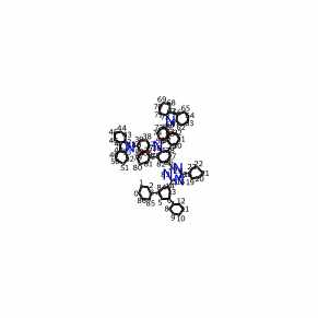 c1ccc(-c2cc(-c3ccccc3)cc(-c3nc(-c4ccccc4)nc(-c4cc(-c5ccccc5)c(N(c5ccc(-n6c7ccccc7c7ccccc76)cc5)c5ccc(-n6c7ccccc7c7ccccc76)cc5)c(-c5ccccc5)c4)n3)c2)cc1